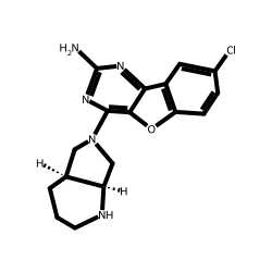 Nc1nc(N2C[C@@H]3CCCN[C@@H]3C2)c2oc3ccc(Cl)cc3c2n1